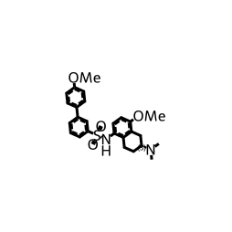 COc1ccc(-c2cccc(S(=O)(=O)Nc3ccc(OC)c4c3CC[C@H](N(C)C)C4)c2)cc1